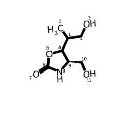 CC(CO)C1OC(=O)N[C@@H]1CO